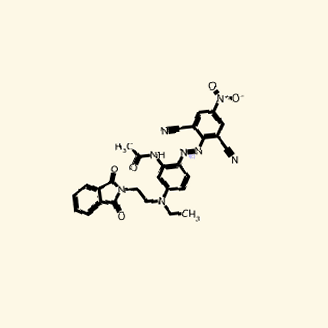 CCN(CCN1C(=O)c2ccccc2C1=O)c1ccc(/N=N/c2c(C#N)cc([N+](=O)[O-])cc2C#N)c(NC(C)=O)c1